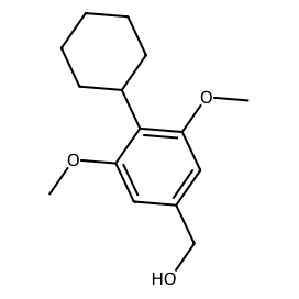 COc1cc(CO)cc(OC)c1C1CCCCC1